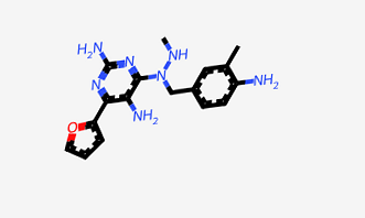 CNN(Cc1ccc(N)c(C)c1)c1nc(N)nc(-c2ccco2)c1N